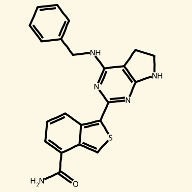 NC(=O)c1cccc2c(-c3nc4c(c(NCc5ccccc5)n3)CCN4)scc12